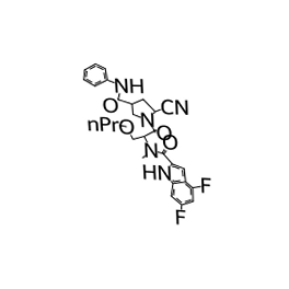 CCCOCC(C(=O)N1CC(C(=O)Nc2ccccc2)CC1C#N)N(C)C(=O)c1cc2c(F)cc(F)cc2[nH]1